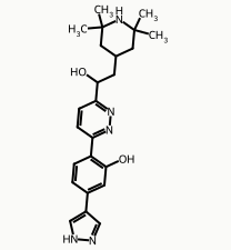 CC1(C)CC(CC(O)c2ccc(-c3ccc(-c4cn[nH]c4)cc3O)nn2)CC(C)(C)N1